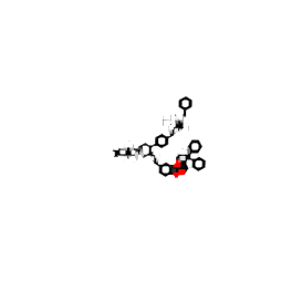 CC(C)(C)OC(=O)ON1CCC(c2ccc(COC(=O)NCc3ccccc3)cc2)C(OCc2ccc3cccc(COC(c4ccccc4)(c4ccccc4)c4ccccc4)c3c2)C1